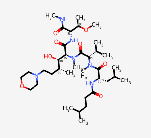 CNC(=O)[C@@H](NC(=O)[C@H]([C@H](O)[C@H](C)CCN1CCOCC1)N(C)C(=O)[C@H](C(C)C)N(C)C(=O)[C@H](CC(C)C)NC(=O)CCC(C)C)[C@@H](C)OC